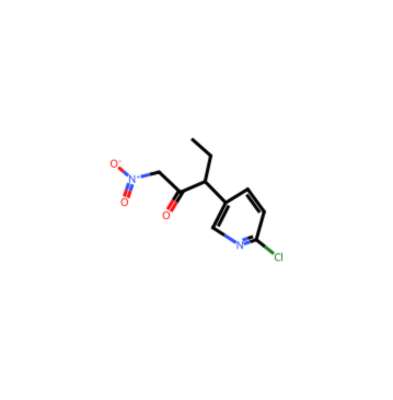 CCC(C(=O)C[N+](=O)[O-])c1ccc(Cl)nc1